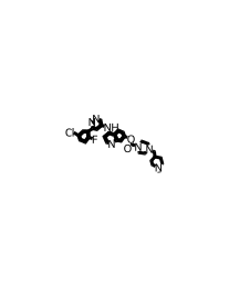 CN1CCC(CN2CCN(C(=O)Oc3ccc4c(Nc5cnnc(-c6cc(Cl)ccc6F)c5)ccnc4c3)CC2)CC1